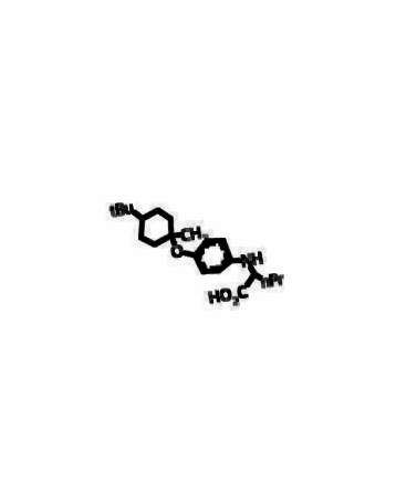 CCCC(Nc1ccc(OC2(C)CCC(C(C)(C)C)CC2)cc1)C(=O)O